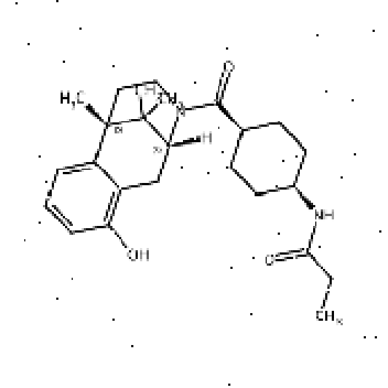 CCC(=O)N[C@H]1CC[C@@H](C(=O)N2CC[C@@]3(C)c4cccc(O)c4C[C@@H]2C3(C)C)CC1